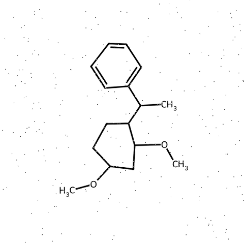 COC1CCC(C(C)c2ccccc2)C(OC)C1